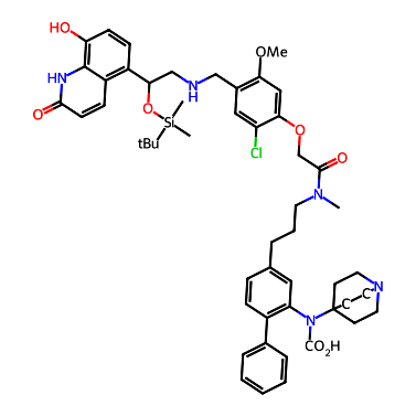 COc1cc(OCC(=O)N(C)CCCc2ccc(-c3ccccc3)c(N(C(=O)O)C34CCN(CC3)CC4)c2)c(Cl)cc1CNCC(O[Si](C)(C)C(C)(C)C)c1ccc(O)c2[nH]c(=O)ccc12